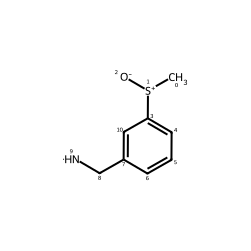 C[S+]([O-])c1cccc(C[NH])c1